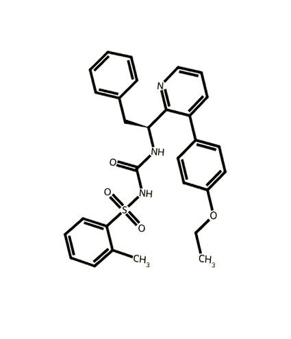 CCOc1ccc(-c2cccnc2[C@H](Cc2ccccc2)NC(=O)NS(=O)(=O)c2ccccc2C)cc1